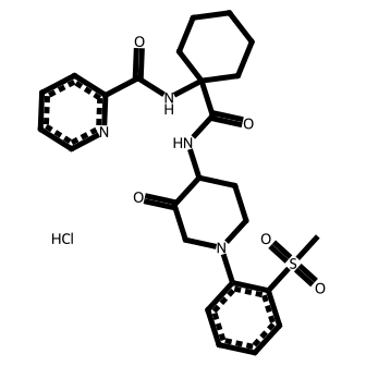 CS(=O)(=O)c1ccccc1N1CCC(NC(=O)C2(NC(=O)c3ccccn3)CCCCC2)C(=O)C1.Cl